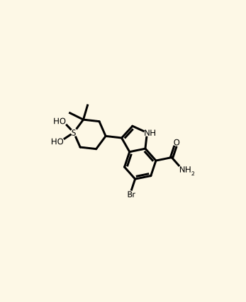 CC1(C)CC(c2c[nH]c3c(C(N)=O)cc(Br)cc23)CCS1(O)O